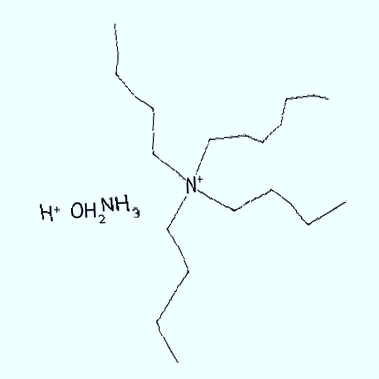 CCCC[N+](CCCC)(CCCC)CCCC.N.O.[H+]